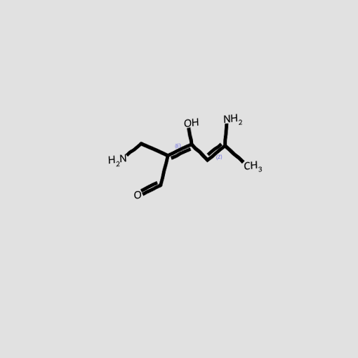 C/C(N)=C/C(O)=C(\C=O)CN